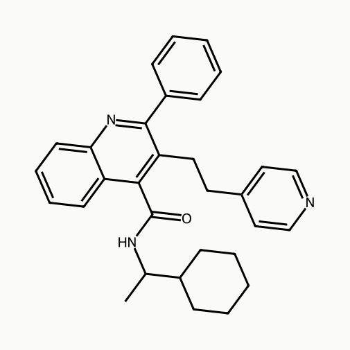 CC(NC(=O)c1c(CCc2ccncc2)c(-c2ccccc2)nc2ccccc12)C1CCCCC1